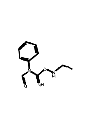 CCNSC(=N)N(C=O)c1ccccc1